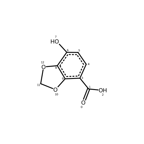 O=C(O)c1ccc(O)c2c1OCO2